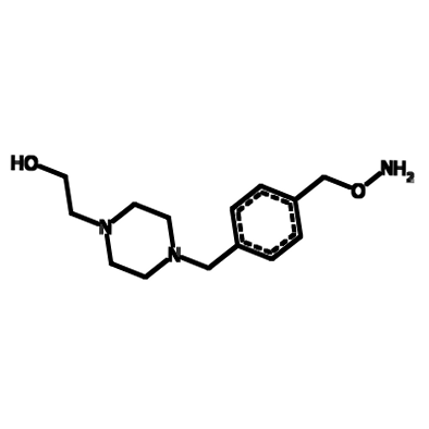 NOCc1ccc(CN2CCN(CCO)CC2)cc1